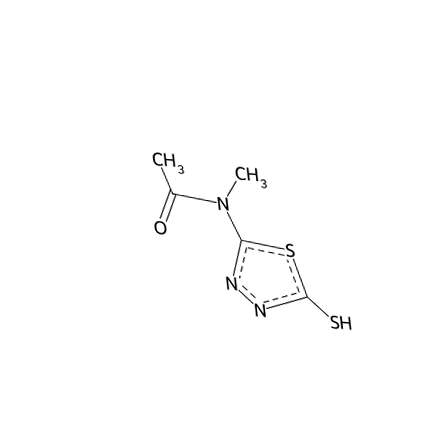 CC(=O)N(C)c1nnc(S)s1